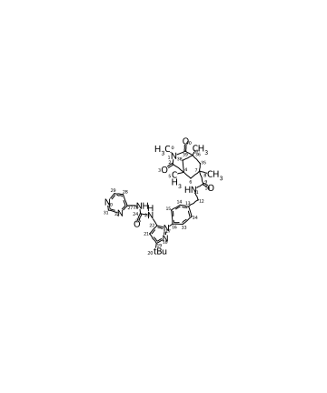 CN1C(=O)C2(C)CC(C)(C(=O)NCc3ccc(-n4nc(C(C)(C)C)cc4NC(=O)Nc4ccncn4)cc3)CC(C)(C2)C1=O